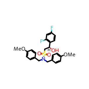 COc1ccc(CN(Cc2ccc(OC)cc2)S(=O)(=O)C[C@H](O)c2ccc(F)cc2F)cc1